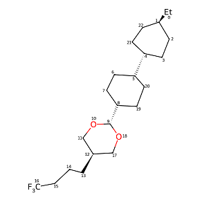 CC[C@H]1CC[C@H](C2CCC([C@H]3OC[C@H](CCCC(F)(F)F)CO3)CC2)CC1